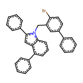 Brc1ccc(-c2ccccc2)cc1Cn1c(-c2ccccc2)cc2c(-c3ccccc3)cccc21